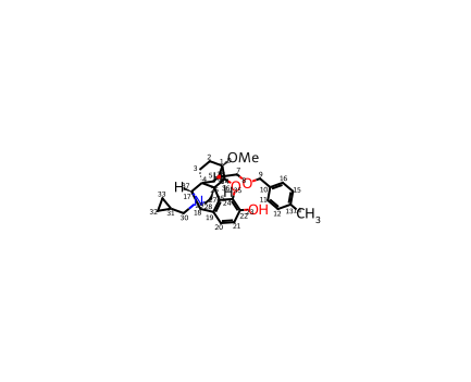 CO[C@]12CC[C@@]3(C[C@@H]1COCc1ccc(C)cc1)[C@H]1Cc4ccc(O)c5c4[C@@]3(CCN1CC1CC1)[C@H]2O5